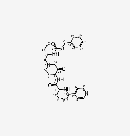 CC(C)C[C@@H](CN1CCC(NC(=O)[C@H](CC(C)C)NC(=O)c2ccncc2)C(=O)C1)NC(=O)OCc1ccccc1